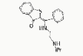 CC(C)NCCN/C(=C1/Sc2ccccc2C1=O)c1ccccc1